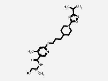 Cc1cc(OCCCC2CCN(c3nc(C(C)C)no3)CC2)ncc1C(=O)N[C@H](C)CO